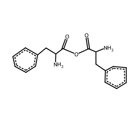 NC(Cc1ccccc1)C(=O)OC(=O)C(N)Cc1ccccc1